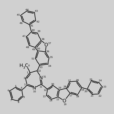 CC1=CC(c2ccccc2)=NC(c2ccc3oc4cc(-c5ccccc5)ccc4c3c2)=NC1c1ccc2oc3cc(-c4ccccc4)ccc3c2c1